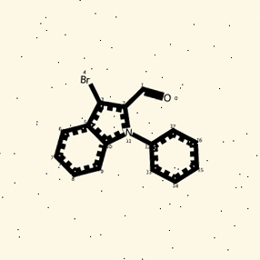 O=Cc1c(Br)c2ccccc2n1-c1ccccc1